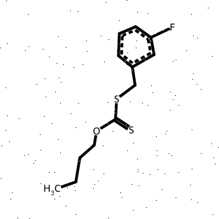 CCCCOC(=S)SCc1cccc(F)c1